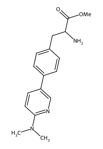 COC(=O)C(N)Cc1ccc(-c2ccc(N(C)C)nc2)cc1